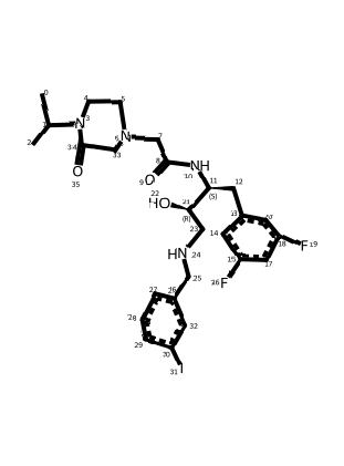 CC(C)N1CCN(CC(=O)N[C@@H](Cc2cc(F)cc(F)c2)[C@H](O)CNCc2cccc(I)c2)CC1=O